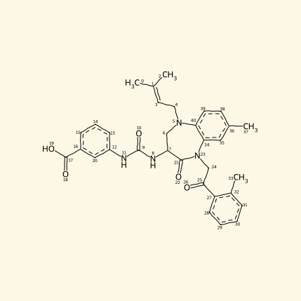 CC(C)=CCN1CC(NC(=O)Nc2cccc(C(=O)O)c2)C(=O)N(CC(=O)c2ccccc2C)c2cc(C)ccc21